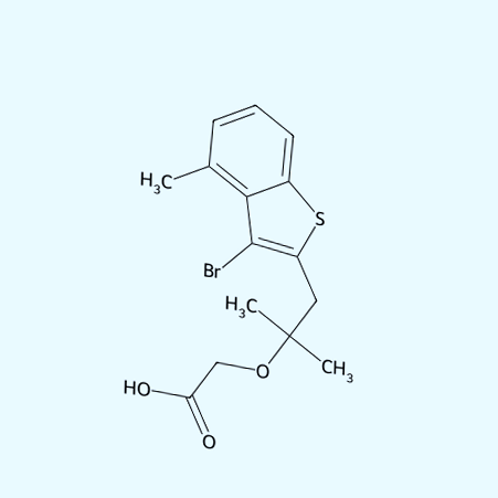 Cc1cccc2sc(CC(C)(C)OCC(=O)O)c(Br)c12